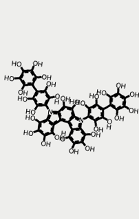 Oc1c(O)c(O)c(-c2c(O)c(O)c(-n3c4c(O)c(O)c(O)c(O)c4c4c5c6c(O)c(O)c(O)c(O)c6n(-c6c(O)c(O)c(-c7c(O)c(O)c(O)c(O)c7O)c(O)c6O)c5c(O)c(O)c43)c(O)c2O)c(O)c1O